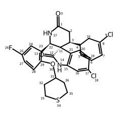 O=C1C[C@@H](C2C=CC=C(Cl)C2)[C@]2(C(=O)Nc3cc(Cl)ccc32)[C@@H](c2cc(F)ccc2OC2CCSCC2)N1